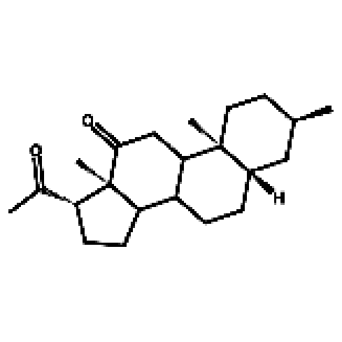 CC(=O)[C@H]1CCC2C3CC[C@H]4C[C@H](C)CC[C@]4(C)C3CC(=O)[C@@]21C